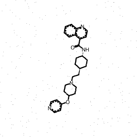 O=C(N[C@H]1CC[C@H](CCN2CCC(Oc3ccncc3)CC2)CC1)c1ccnc2ccccc12